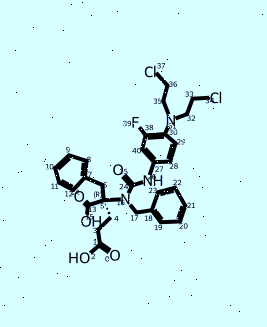 O=C(O)CC[C@@](Cc1ccccc1)(C(=O)O)N(Cc1ccccc1)C(=O)Nc1ccc(N(CCCl)CCCl)c(F)c1